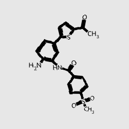 CC(=O)c1ccc(-c2ccc(N)c(NC(=O)c3ccc(S(C)(=O)=O)cc3)c2)s1